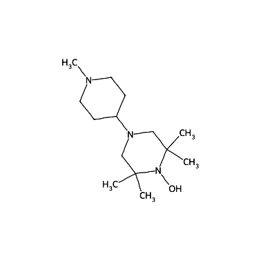 CN1CCC(N2CC(C)(C)N(O)C(C)(C)C2)CC1